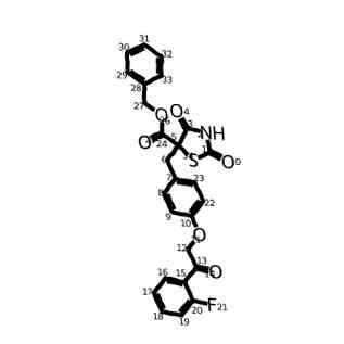 O=C1NC(=O)C(Cc2ccc(OCC(=O)c3ccccc3F)cc2)(C(=O)OCc2ccccc2)S1